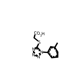 Cc1cccc(-n2nnnc2SCC(=O)O)c1